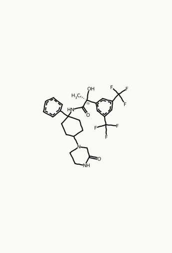 C[C@@](O)(C(=O)NC1(c2ccccc2)CCC(N2CCNC(=O)C2)CC1)c1cc(C(F)(F)F)cc(C(F)(F)F)c1